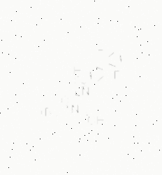 C[C@H](NC(=O)C1C[C@@H](O)CN1C(=O)CC(C)(C)C)c1ccc(-c2c(F)cccc2F)cc1